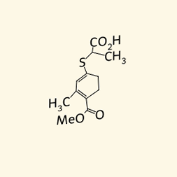 COC(=O)C1=C(C)C=C(SC(C)C(=O)O)CC1